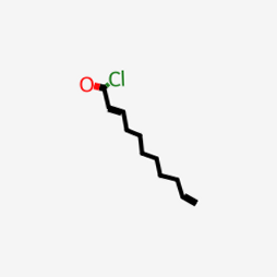 C=CCCCCCCC=CC(=O)Cl